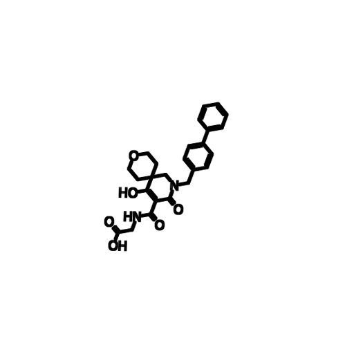 O=C(O)CNC(=O)C1=C(O)C2(CCOCC2)CN(Cc2ccc(-c3ccccc3)cc2)C1=O